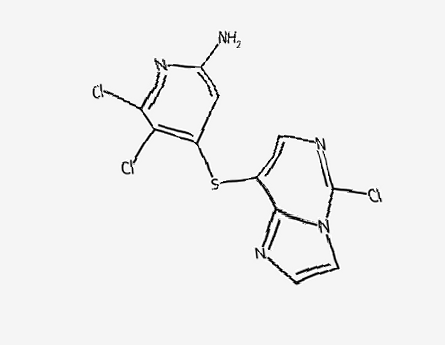 Nc1cc(Sc2cnc(Cl)n3ccnc23)c(Cl)c(Cl)n1